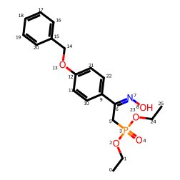 CCOP(=O)(CC(=NO)c1ccc(OCc2ccccc2)cc1)OCC